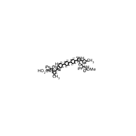 COC(=O)NC(C(=O)N1CC(C)CC1c1nc(-c2ccc(-c3ccc(-c4ccc5[nH]c(C6CC(C)CN6C(=O)C(NC(=O)O)C(C)C)nc5c4)cc3)cc2)c[nH]1)C(C)C